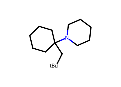 CC(C)(C)CC1(N2CCCCC2)CCCCC1